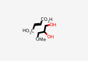 COCC(O)CO.O=C(O)/C=C/C(=O)O